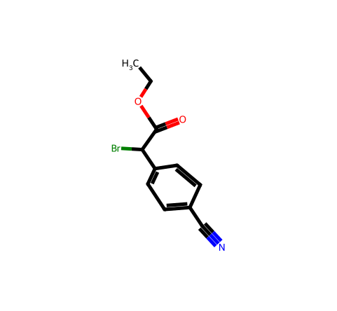 CCOC(=O)C(Br)c1ccc(C#N)cc1